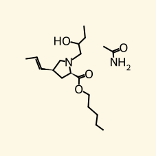 CC(N)=O.CC=C[C@@H]1C[C@H](C(=O)OCCCCC)N(CC(O)CC)C1